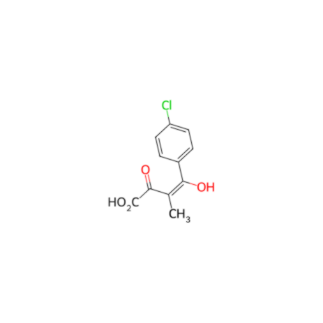 CC(C(=O)C(=O)O)=C(O)c1ccc(Cl)cc1